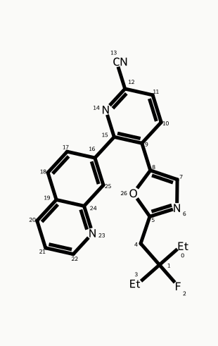 CCC(F)(CC)Cc1ncc(-c2ccc(C#N)nc2-c2ccc3cccnc3c2)o1